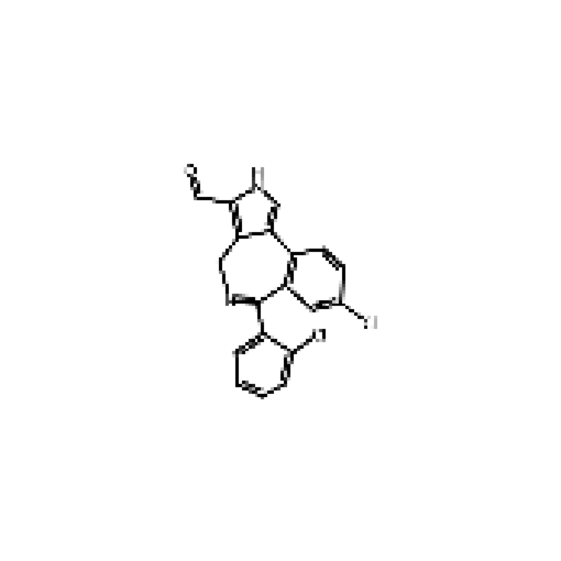 O=Cc1[nH]cc2c1CN=C(c1ccccc1Cl)c1cc(Cl)ccc1-2